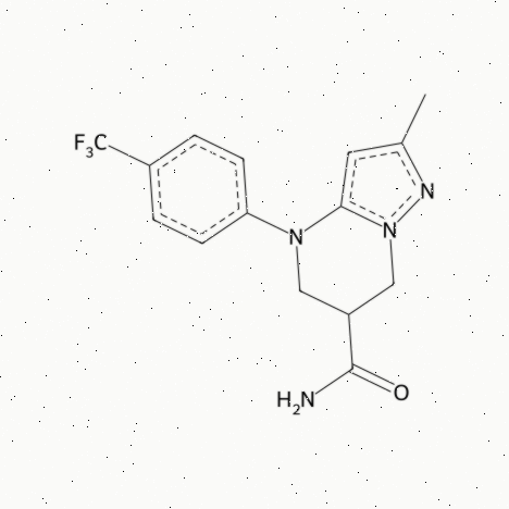 Cc1cc2n(n1)CC(C(N)=O)CN2c1ccc(C(F)(F)F)cc1